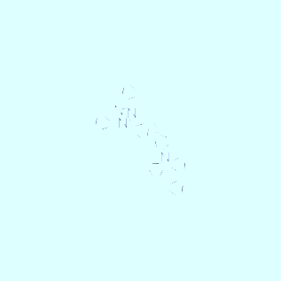 c1ccc(-c2nc(-c3ccccc3)nc(-c3ccc4c(c3)sc3ccc(-n5c6ccccc6c6c(-c7ccccc7)cccc65)cc34)n2)cc1